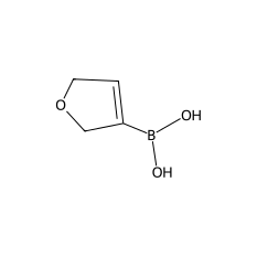 OB(O)C1=CCOC1